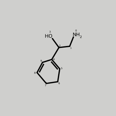 NCC(O)C1=CC[CH]C=C1